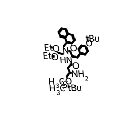 CCOC(CN(Cc1cccc2ccccc12)C(=O)C(Cc1ccc(OC(C)(C)C)cc1)NC(=O)CC(N)CO[Si](C)(C)C(C)(C)C)OCC